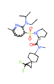 CCN(c1nc(C)ccc1S(=O)(=O)N1CCC[C@H]1C(=O)N(C)C1CCC2(CC1)CC2(F)F)C(C)C